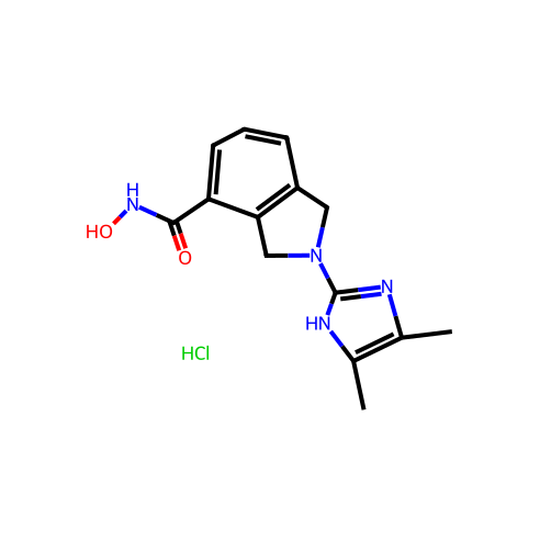 Cc1nc(N2Cc3cccc(C(=O)NO)c3C2)[nH]c1C.Cl